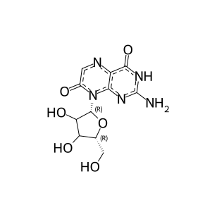 Nc1nc2c(ncc(=O)n2[C@@H]2O[C@H](CO)C(O)C2O)c(=O)[nH]1